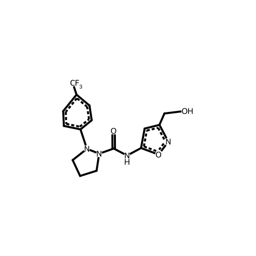 O=C(Nc1cc(CO)no1)N1CCCN1c1ccc(C(F)(F)F)cc1